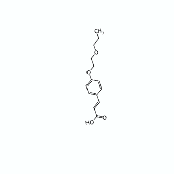 CCCOCCOc1ccc(/C=C/C(=O)O)cc1